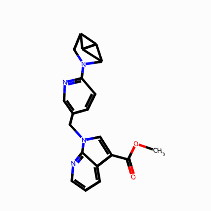 COC(=O)c1cn(Cc2ccc(N3CC4C5C4C53)nc2)c2ncccc12